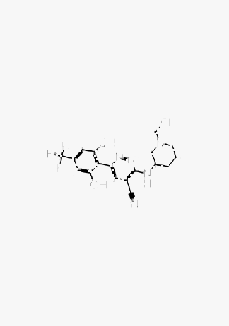 CCN1CCCC(Nc2nnc(-c3c(C)cc(C(F)(F)F)cc3O)cc2C#N)C1